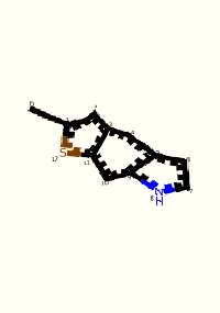 Cc1cc2cc3cc[nH]c3cc2s1